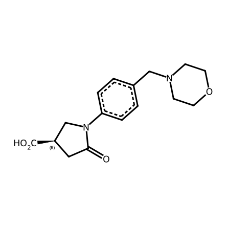 O=C(O)[C@@H]1CC(=O)N(c2ccc(CN3CCOCC3)cc2)C1